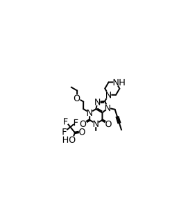 CC#CCn1c(N2CCNCC2)nc2c1c(=O)n(C)c(=O)n2CCOCC.O=C(O)C(F)(F)F